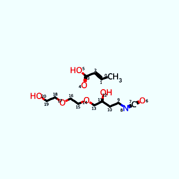 CC=CC(=O)O.O=C=NCCC(O)COCCOCCO